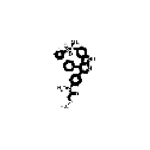 COCC(=O)N(C)c1ccc(-c2cnc3[nH]c4ccc(N(C)S(=O)(=O)c5cccs5)cc4c3c2C2=CC=CCC2)cc1